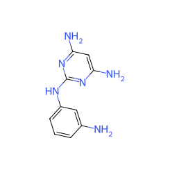 Nc1cccc(Nc2nc(N)cc(N)n2)c1